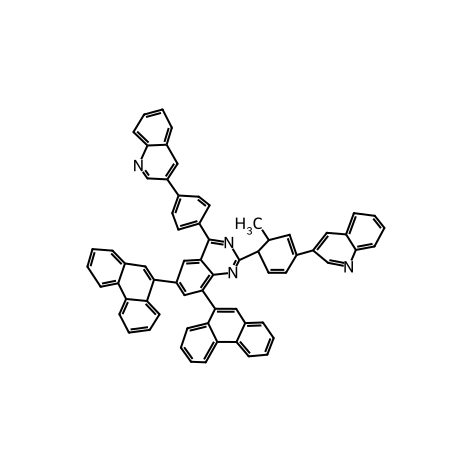 CC1C=C(c2cnc3ccccc3c2)C=CC1c1nc(-c2ccc(-c3cnc4ccccc4c3)cc2)c2cc(-c3cc4ccccc4c4ccccc34)cc(-c3cc4ccccc4c4ccccc34)c2n1